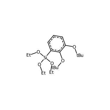 CCO[Si](OCC)(OCC)c1cccc(OC(C)(C)C)c1OC(C)(C)C